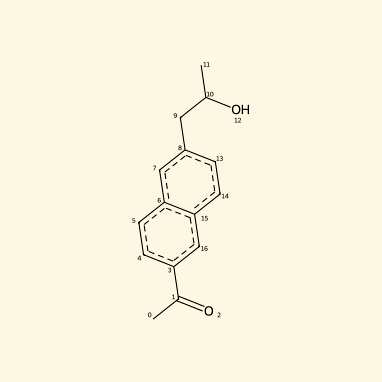 CC(=O)c1ccc2cc(CC(C)O)ccc2c1